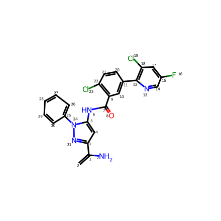 C=C(N)c1cc(NC(=O)c2cc(-c3ncc(F)cc3Cl)ccc2Cl)n(-c2ccccc2)n1